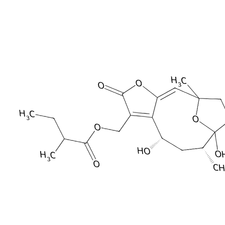 CCC(C)C(=O)OCC1=C2C(=CC3(C)CCC(O)(O3)[C@H](C)C[C@@H]2O)OC1=O